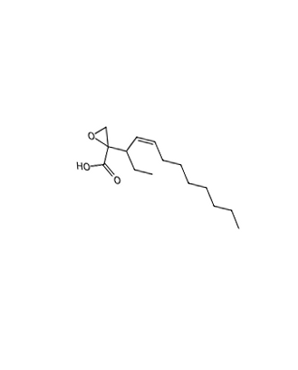 CCCCCCC/C=C\C(CC)C1(C(=O)O)CO1